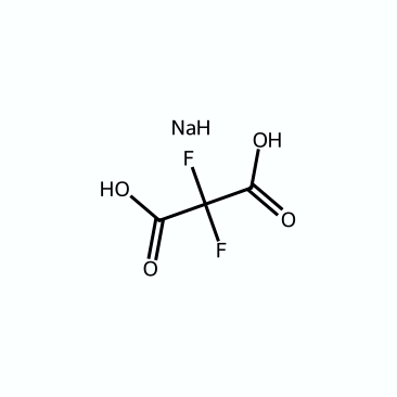 O=C(O)C(F)(F)C(=O)O.[NaH]